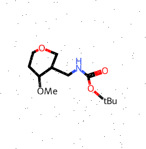 COC1CCOCC1CNC(=O)OC(C)(C)C